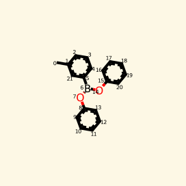 Cc1cccc(B(Oc2ccccc2)Oc2ccccc2)c1